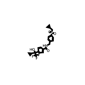 O=C(NCc1ccc(S(=O)(=O)CC2CC2)cc1)c1ccc(C(O)(C2CC2)C(F)(F)F)cc1